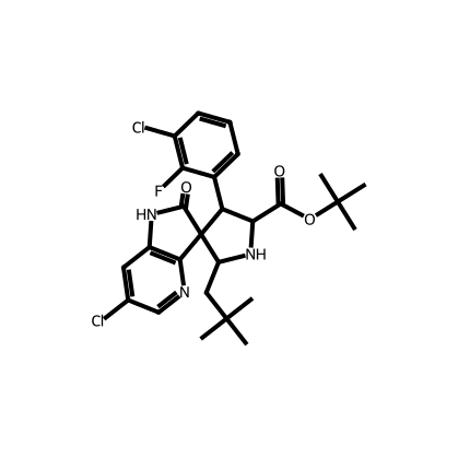 CC(C)(C)CC1NC(C(=O)OC(C)(C)C)C(c2cccc(Cl)c2F)C12C(=O)Nc1cc(Cl)cnc12